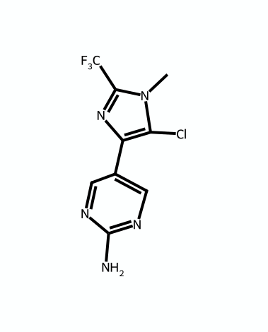 Cn1c(C(F)(F)F)nc(-c2cnc(N)nc2)c1Cl